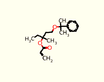 C=CC(=O)OC(C)(CC)CCOC(C)(C)c1ccccc1